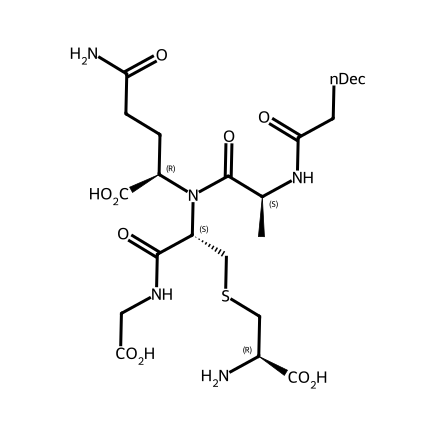 CCCCCCCCCCCC(=O)N[C@@H](C)C(=O)N([C@H](CCC(N)=O)C(=O)O)[C@H](CSC[C@H](N)C(=O)O)C(=O)NCC(=O)O